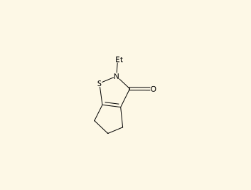 CCn1sc2c(c1=O)CCC2